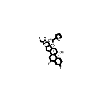 C[C@@H]1CC2C3C[C@H](F)C4=CC(=O)C=C[C@]4(C)C3(F)[C@@H](O)C[C@]2(C)[C@@]1(OC(=O)c1ccco1)C(=O)S(=O)(=O)CF